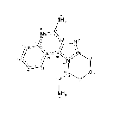 NC[C@H]1COCc2nc3c(N)nc4ccccc4c3n21